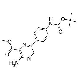 COC(=O)c1nc(-c2ccc(NC(=O)OC(C)(C)C)cc2)cnc1N